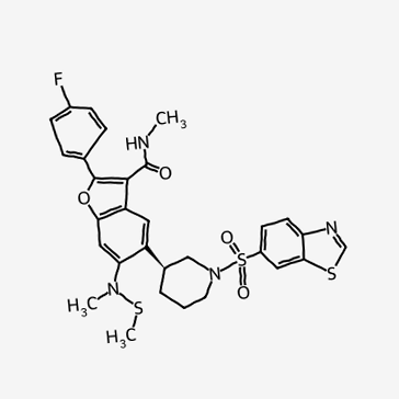 CNC(=O)c1c(-c2ccc(F)cc2)oc2cc(N(C)SC)c([C@@H]3CCCN(S(=O)(=O)c4ccc5ncsc5c4)C3)cc12